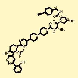 C#Cc1ccc([C@H](C)NC(=O)[C@@H]2C[C@@H](O)CN2C(=O)[C@@H](NC(=O)N2CCC(N3CCC(c4cnc(N5CCc6[nH]c7nnc(-c8ccccc8O)cc7c6[C@H]5C(F)F)nc4)CC3)CC2)C(C)(C)C)cc1